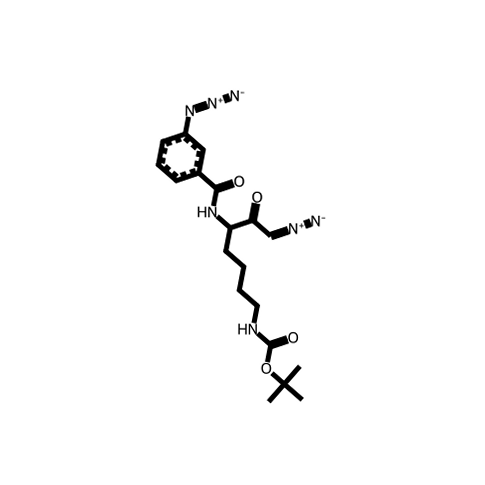 CC(C)(C)OC(=O)NCCCCC(NC(=O)c1cccc(N=[N+]=[N-])c1)C(=O)C=[N+]=[N-]